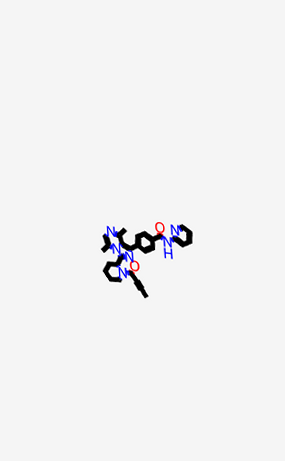 CC#CC(=O)N1CCCCC1c1nc(-c2ccc(C(=O)Nc3ccccn3)cc2)c2c(C)ncc(C)n12